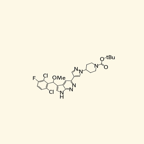 COC(c1c(Cl)ccc(F)c1Cl)c1c[nH]c2nnc(-c3cnn(C4CCN(C(=O)OC(C)(C)C)CC4)c3)cc12